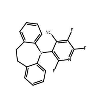 N#Cc1c(F)c(F)nc(F)c1N1c2ccccc2CCc2ccccc21